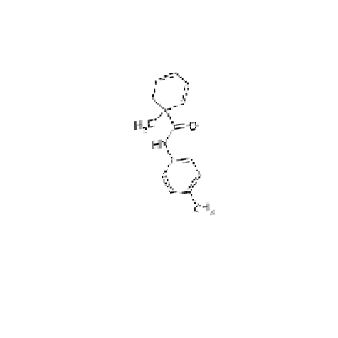 Cc1ccc(NC(=O)C2(C)C=CC=CC2)cc1